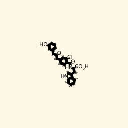 O=C(Cc1cccc(O)c1)Cc1ccc(C(=O)N[C@@H](Cc2c[nH]c3ccccc23)C(=O)O)c(Cl)c1